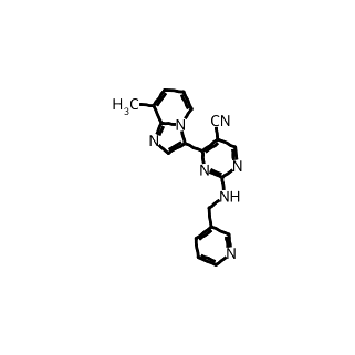 Cc1cccn2c(-c3nc(NCc4cccnc4)ncc3C#N)cnc12